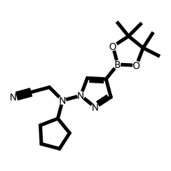 CC1(C)OB(c2cnn(N(CC#N)C3CCCC3)c2)OC1(C)C